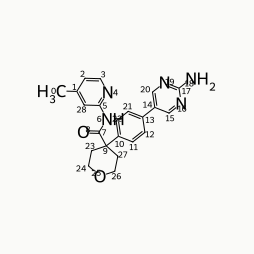 Cc1ccnc(NC(=O)C2(c3ccc(-c4cnc(N)nc4)cc3)CCOCC2)c1